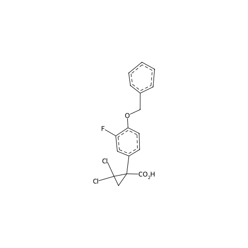 O=C(O)C1(c2ccc(OCc3ccccc3)c(F)c2)CC1(Cl)Cl